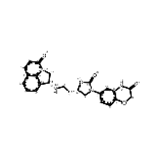 O=C1COc2ccc(N3C[C@H](CCN[C@H]4Cn5c(=O)ccc6cccc4c65)OC3=O)cc2N1